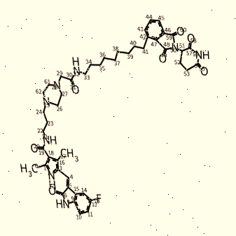 Cc1[nH]c(/C=C2\C(=O)Nc3ccc(F)cc32)c(C)c1C(=O)NCCCN1CCN(CC(=O)NCCCCCCCCCc2cccc3c2C(=O)N(C2CCC(=O)NC2=O)C3=O)CC1